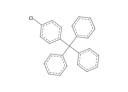 Clc1ccc(C(c2ccccc2)(c2ccccc2)c2ccccc2)cc1